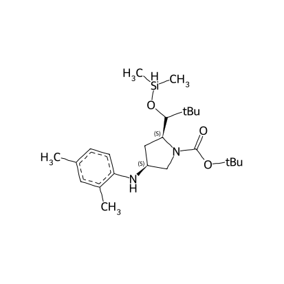 Cc1ccc(N[C@H]2C[C@@H](C(O[SiH](C)C)C(C)(C)C)N(C(=O)OC(C)(C)C)C2)c(C)c1